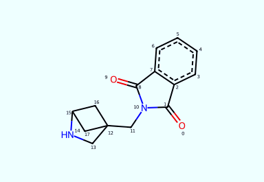 O=C1c2ccccc2C(=O)N1CC12CNC(C1)C2